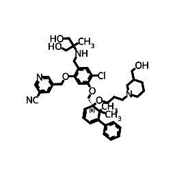 CC(CO)(CO)NCc1cc(Cl)c(OC[C@@]2(OCCCN3CCCC(CO)C3)C=CC=C(c3ccccc3)C2(C)C)cc1OCc1cncc(C#N)c1